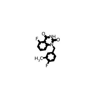 Cc1cc(Cn2c(=O)[nH]c(=O)c3c(F)cccc32)ccc1F